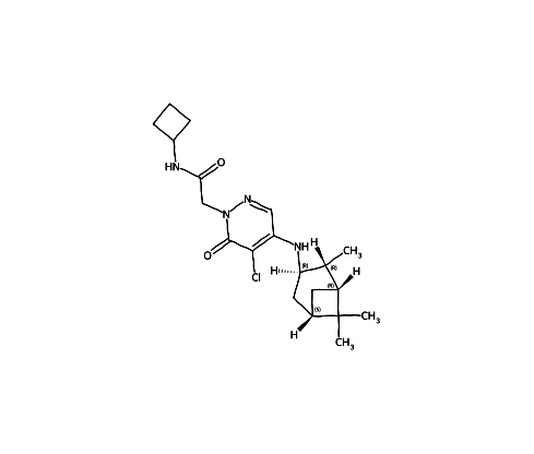 C[C@@H]1[C@H]2C[C@@H](C[C@H]1Nc1cnn(CC(=O)NC3CCC3)c(=O)c1Cl)C2(C)C